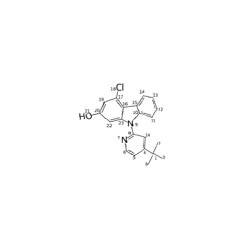 CC(C)(C)c1ccnc(-n2c3ccccc3c3c(Cl)cc(O)cc32)c1